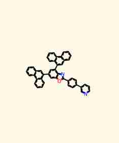 c1cncc(-c2ccc(-c3nc4c(-c5cc6ccccc6c6ccccc56)cc(-c5cc6ccccc6c6ccccc56)cc4o3)cc2)c1